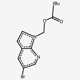 CC(C)(C)C(=O)OCn1ccc2cc(Br)cnc21